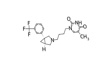 Cc1cn(CCCCN2C[C@H]3C[C@@]3(c3cccc(C(F)(F)F)c3)C2)c(=O)[nH]c1=O